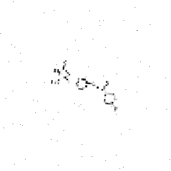 O=C1NC(O)C(Cc2ccc(OCC(=O)c3ccc(F)cc3)cc2)S1